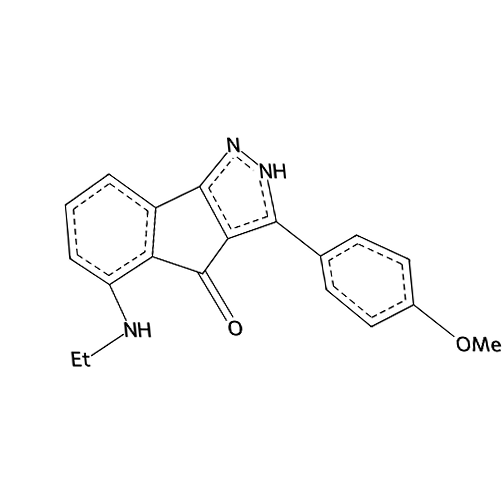 CCNc1cccc2c1C(=O)c1c-2n[nH]c1-c1ccc(OC)cc1